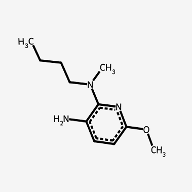 CCCCN(C)c1nc(OC)ccc1N